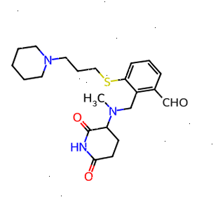 CN(Cc1c(C=O)cccc1SCCCN1CCCCC1)C1CCC(=O)NC1=O